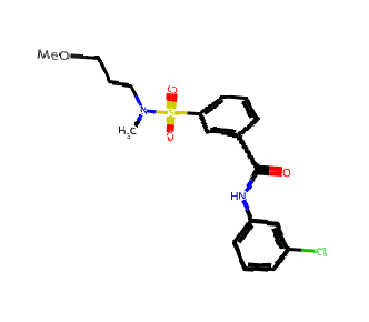 COCCCN(C)S(=O)(=O)c1cccc(C(=O)Nc2cccc(Cl)c2)c1